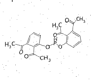 CC(=O)c1cccc(OPOc2cccc(C(C)=O)c2C(C)=O)c1C(C)=O